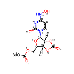 CC(C)COC(=O)OC[C@H]1O[C@@H](n2ccc(NO)nc2=O)[C@@H]2OC(=O)O[C@@H]21